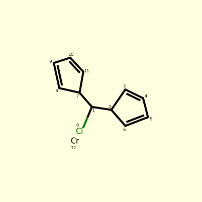 Cl[C](C1C=CC=C1)C1C=CC=C1.[Cr]